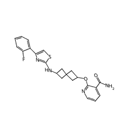 NC(=O)c1cccnc1OC1CC2(CC(Nc3nc(-c4ccccc4F)cs3)C2)C1